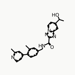 Cc1cc(-c2ccc(CNC(=O)c3nc4cc(C(C)O)ccn4n3)cc2C)ccn1